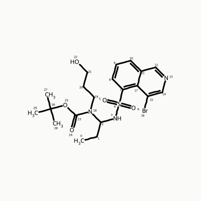 CCC(NS(=O)(=O)c1cccc2cncc(Br)c12)N(CCCO)C(=O)OC(C)(C)C